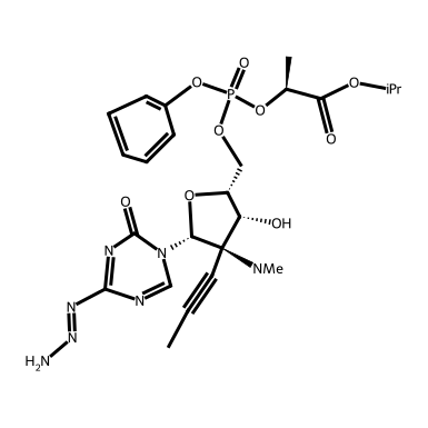 CC#C[C@@]1(NC)[C@@H](O)[C@@H](COP(=O)(Oc2ccccc2)O[C@@H](C)C(=O)OC(C)C)O[C@H]1n1cnc(N=NN)nc1=O